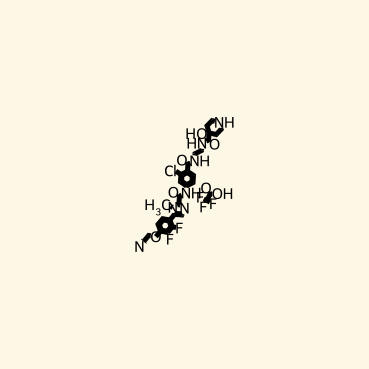 Cn1c(-c2ccc(OCC#N)c(F)c2F)cnc1C(=O)Nc1ccc(C(=O)NCCNC(=O)C2(O)CCNCC2)c(Cl)c1.O=C(O)C(F)(F)F